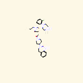 C[C@@H]1CN(c2c(F)cccc2[C@@H]2S[C@@H](CC(=O)N3CCC(N4CCc5ccccc5NC4=O)CC3)C(=O)N2CCC(C)(C)C)C[C@H](C)N1